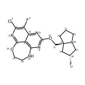 Fc1c(Cl)nc2c3c(nc(OC[C@@]45CCCN4C[C@H](F)C5)nc13)NCCO2